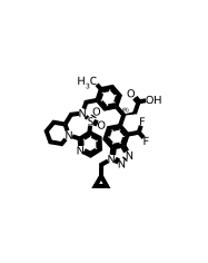 Cc1ccc([C@@H](CC(=O)O)c2ccc3c(nnn3CC3CC3)c2C(F)F)cc1CN1CC2CCCCN2c2ncccc2S1(=O)=O